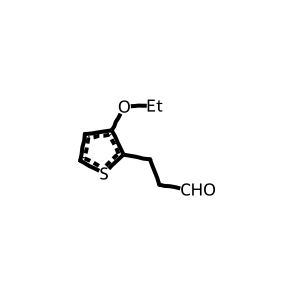 CCOc1ccsc1CCC=O